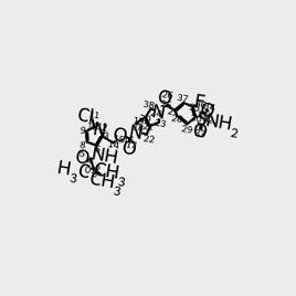 CC(C)(C)C(=O)Nc1ccc(Cl)nc1COC(=O)N1CC2=C(C1)CN(C(=O)c1ccc(S(N)(=O)=O)c(F)c1)C2